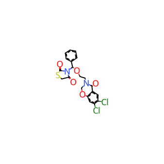 O=C1c2cc(Cl)c(Cl)cc2OCN1CCOC(c1ccccc1)N1C(=O)CSC1=O